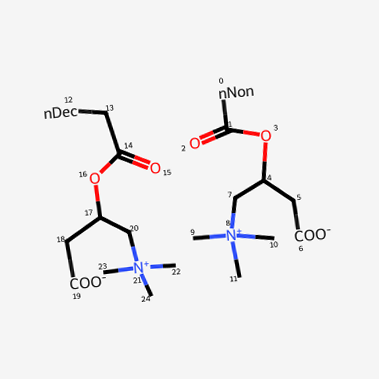 CCCCCCCCCC(=O)OC(CC(=O)[O-])C[N+](C)(C)C.CCCCCCCCCCCC(=O)OC(CC(=O)[O-])C[N+](C)(C)C